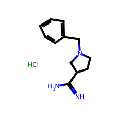 Cl.N=C(N)C1CCN(Cc2ccccc2)C1